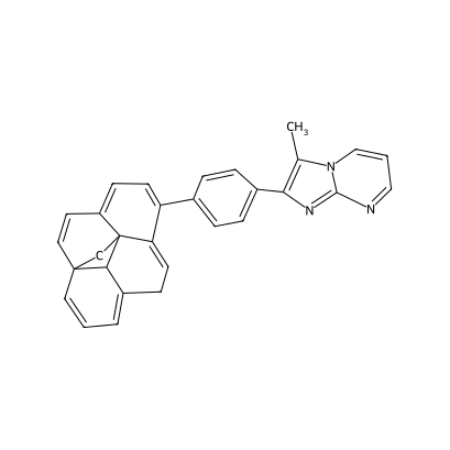 Cc1c(-c2ccc(C3=CC=C4C=CC56C=CC=C7CC=C3C4(C5)C76)cc2)nc2ncccn12